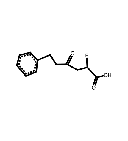 O=C(CCc1ccccc1)CC(F)C(=O)O